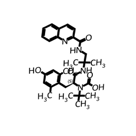 Cc1cc(O)cc(C)c1C[C@@H](C(=O)NC(C)(C)CNC(=O)c1ccc2ccccc2n1)N(C(=O)O)C(C)(C)C